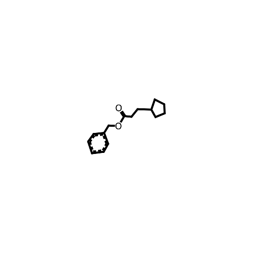 O=C(CCC1CCCC1)OCc1ccccc1